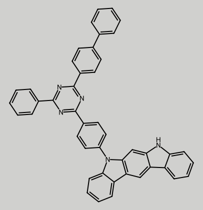 c1ccc(-c2ccc(-c3nc(-c4ccccc4)nc(-c4ccc(-n5c6ccccc6c6cc7c(cc65)[nH]c5ccccc57)cc4)n3)cc2)cc1